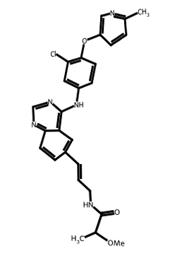 COC(C)C(=O)NCC=Cc1ccc2ncnc(Nc3ccc(Oc4ccc(C)nc4)c(Cl)c3)c2c1